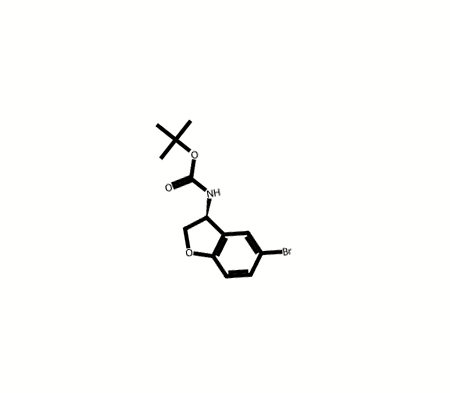 CC(C)(C)OC(=O)N[C@@H]1COc2ccc(Br)cc21